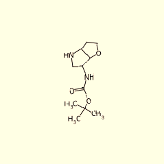 CC(C)(C)OC(=O)NC1CNC2CCOC21